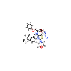 C=C(COc1ccccc1)N(Cc1cccc(C(F)(F)F)c1C)c1nc(N2CCOCC2)sc1C(N)=O